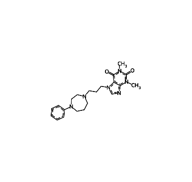 Cn1c(=O)c2c(ncn2CCCN2CCCN(c3ccccc3)CC2)n(C)c1=O